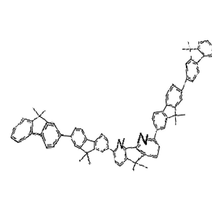 CC1(C)c2ccccc2-c2ccc(-c3ccc4c(c3)C(C)(C)c3cc(-c5ccc6c(n5)-c5nc(-c7ccc8c(c7)C(C)(C)c7cc(-c9ccc%10c(c9)C(C)(C)c9ccccc9-%10)ccc7-8)ccc5C6(C)C)ccc3-4)cc21